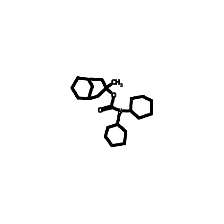 CC1(OC(=O)N(C2CCCCC2)C2CCCCC2)CC2CCCC(C2)C1